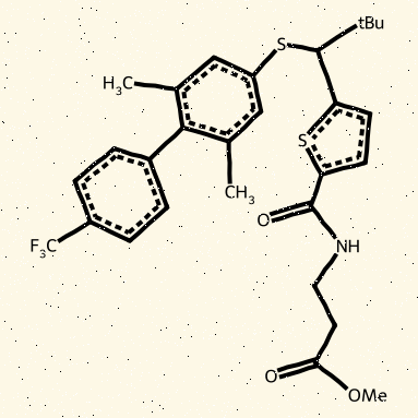 COC(=O)CCNC(=O)c1ccc(C(Sc2cc(C)c(-c3ccc(C(F)(F)F)cc3)c(C)c2)C(C)(C)C)s1